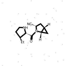 CC[C@H]1CCN[C@@H]1C(=O)N1[C@H](C#N)C[C@@H]2C[C@@H]21